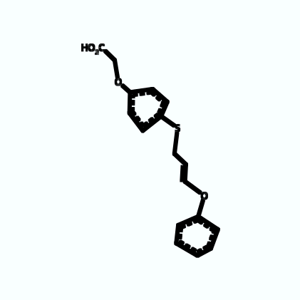 O=C(O)COc1ccc(SCC=COc2ccccc2)cc1